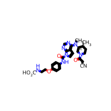 C[C@@H]1CCN(C(=O)CC#N)C[C@@H]1N(C)c1ncnc2c1ccn2C(=O)Nc1ccc(OCCNC(=O)O)cc1